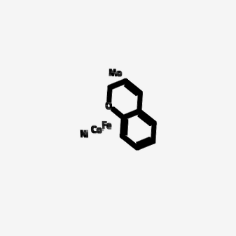 C1=Cc2ccccc2OC1.[Co].[Fe].[Mo].[Ni]